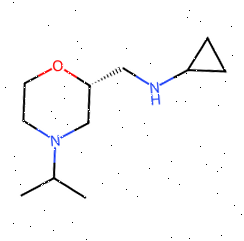 CC(C)N1CCO[C@H](CNC2CC2)C1